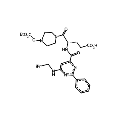 CCOC(=O)ON1CCN(C(=O)[C@H](CCC(=O)O)NC(=O)c2cc(NCC(C)C)nc(-c3ccccc3)n2)CC1